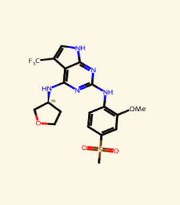 COc1cc(S(C)(=O)=O)ccc1Nc1nc(N[C@H]2CCOC2)c2c(C(F)(F)F)c[nH]c2n1